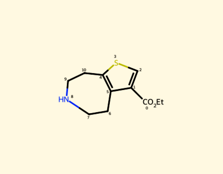 CCOC(=O)c1csc2c1CCNCC2